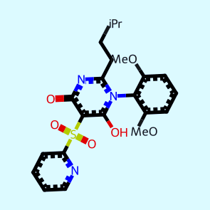 COc1cccc(OC)c1-n1c(CCC(C)C)nc(=O)c(S(=O)(=O)c2ccccn2)c1O